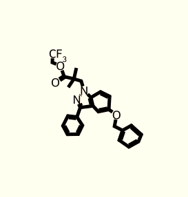 CC(C)(Cn1nc(-c2ccccc2)c2cc(OCc3ccccc3)ccc21)C(=O)OCC(F)(F)F